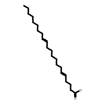 CCCCCCCCC=CCCCCCCC=CCCCC(=O)Cl